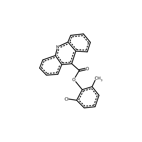 Cc1cccc(Cl)c1OC(=O)c1c2ccccc2nc2ccccc12